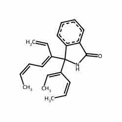 C=C/C(=C\C=C/C)C1(C(/C=C\C)=C/C)NC(=O)c2ccccc21